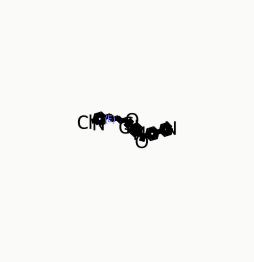 O=C(c1ccc(-c2ccncc2)cc1)N1CCN(S(=O)(=O)CC=C/C=C/c2ccc(Cl)nc2)CC1